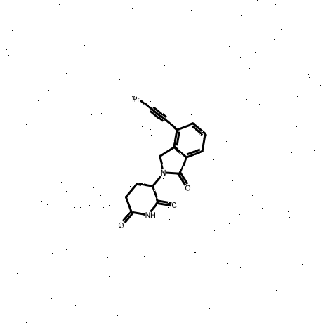 CC(C)C#Cc1cccc2c1CN(C1CCC(=O)NC1=O)C2=O